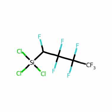 FC(C(F)(F)C(F)(F)C(F)(F)F)[Si](Cl)(Cl)Cl